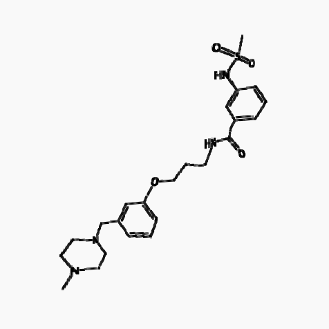 CN1CCN(Cc2cccc(OCCCNC(=O)c3cccc(NS(C)(=O)=O)c3)c2)CC1